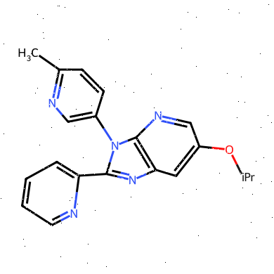 Cc1ccc(-n2c(-c3ccccn3)nc3cc(OC(C)C)cnc32)cn1